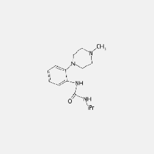 CC(C)NC(=O)Nc1ccccc1N1CCN(C)CC1